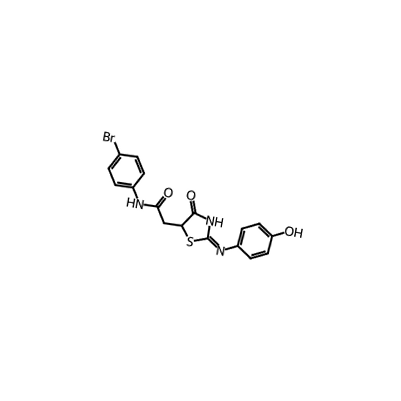 O=C(CC1S/C(=N/c2ccc(O)cc2)NC1=O)Nc1ccc(Br)cc1